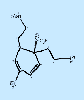 CCC1=CC(CCOC)C(CCC(C)C)(C(=O)O)C=C1